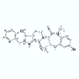 C[C@H]1Oc2cc(Br)cnc2N(C)C(=O)[C@H]1N1CCc2c(nn(Cc3ccccc3)c2Cl)C1=O